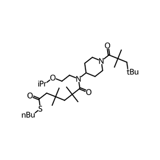 CCCCSC(=O)CC(C)(C)CC(C)(C)C(=O)N(CCOC(C)C)C1CCN(C(=O)C(C)(C)CC(C)(C)C)CC1